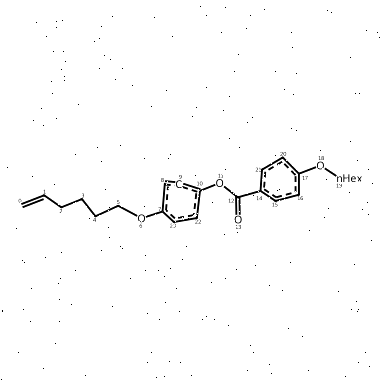 C=CCCCCOc1ccc(OC(=O)c2ccc(OCCCCCC)cc2)cc1